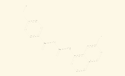 CC(C)Oc1ccc(C(=O)NC(=S)Nc2cccc3ccc(O)cc23)cc1